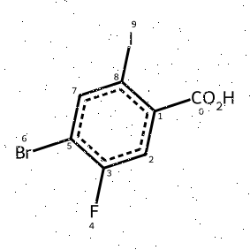 O=C(O)c1cc(F)c(Br)cc1I